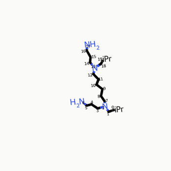 CC(C)CN(CCCN)CCCCCCN(CCCN)CC(C)C